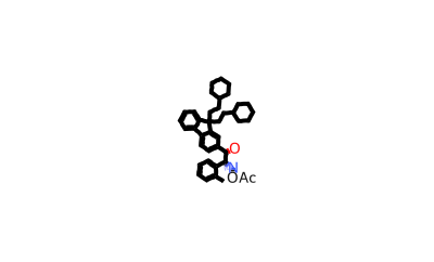 CC(=O)O/N=C(/C(=O)c1ccc2c(c1)C(CCC1CCCCC1)(CCC1CCCCC1)c1ccccc1-2)c1ccccc1C